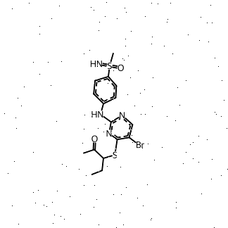 CCC(Sc1nc(Nc2ccc(S(C)(=N)=O)cc2)ncc1Br)C(C)=O